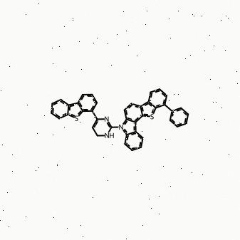 C1=C(c2cccc3c2sc2ccccc23)N=C(n2c3ccccc3c3c4sc5c(-c6ccccc6)cccc5c4ccc32)NC1